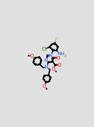 COC(=O)c1c(N(Cc2ccc(OC)cc2)Cc2ccc(OC)cc2)ncn(-c2c(N)cc(F)cc2Cl)c1=O